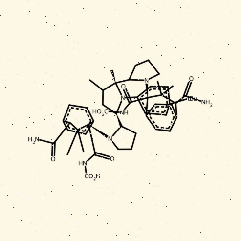 CC1C[C@H](C2CCCN2[C@]2(C(=O)NC(=O)O)c3ccc(cc3)C(C(N)=O)C2(C)C)N(c2ccc(C(C)(C)C)cc2)[C@@]1(C)C1CCCN1[C@]1(C(=O)NC(=O)O)c2ccc(cc2)C(C(N)=O)C1(C)C